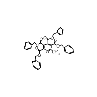 Cc1nc(C(=O)OCc2ccccc2)c(C(=O)OCc2ccccc2)c(C(=O)OCc2ccccc2)c1C(=O)OCc1ccccc1